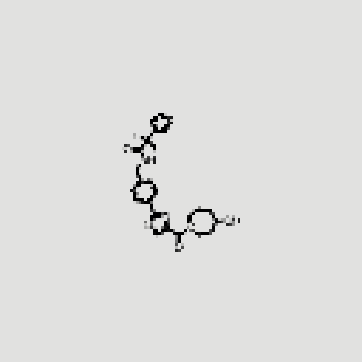 O=C(c1coc(-c2ccc(CNC(=O)C(F)(F)c3ccsc3)cc2)n1)N1CCCC(O)CC1